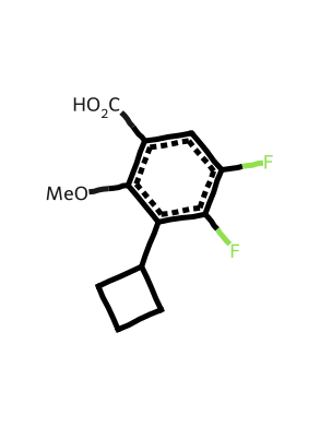 COc1c(C(=O)O)cc(F)c(F)c1C1CCC1